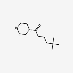 CC(C)(C)CCCC(=O)N1CCNCC1